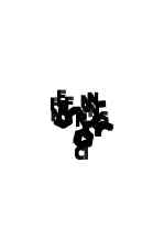 Cc1sc2c(c1C)C(c1ccc(Cl)cc1)=NN(Cc1cccnc1C(F)(F)F)c1nnc(C)n1-2